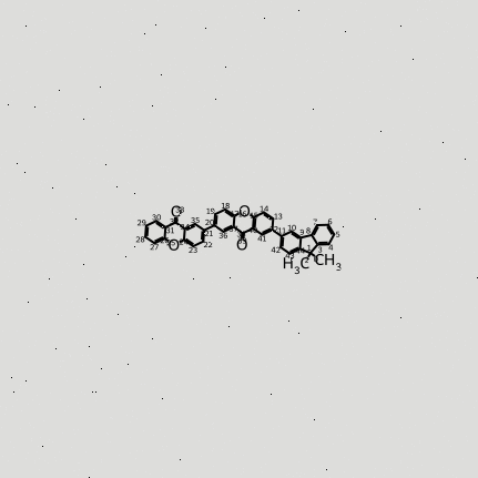 CC1(C)c2ccccc2-c2cc(-c3ccc4oc5ccc(-c6ccc7oc8ccccc8c(=O)c7c6)cc5c(=O)c4c3)ccc21